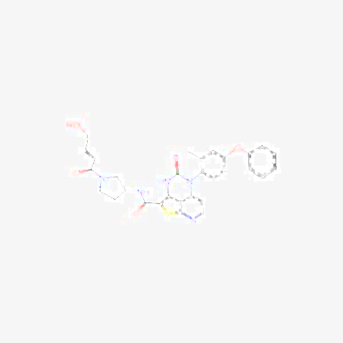 Cc1cc(Oc2ccccc2)ccc1N1C(=O)Nc2c(C(=O)N[C@@H]3CCN(C(=O)/C=C/CO)C3)sc3nccc1c23